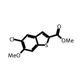 COC(=O)c1cc2cc(Cl)c(OC)cc2s1